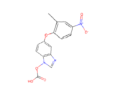 Cc1cc([N+](=O)[O-])ccc1Oc1ccc2c(c1)ncn2OC(=O)O